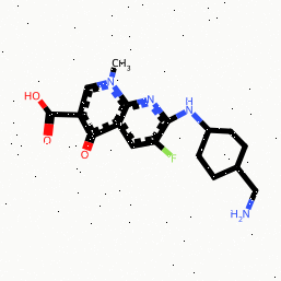 Cn1cc(C(=O)O)c(=O)c2cc(F)c(NC3CCC(CN)CC3)nc21